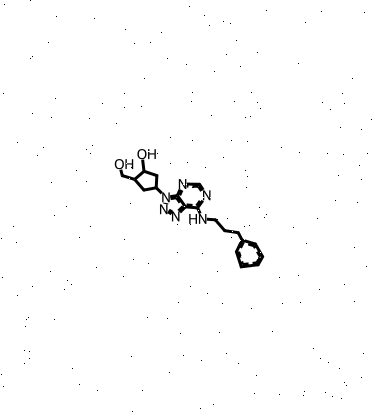 OCC1CC(n2nnc3c(NCCCc4ccccc4)ncnc32)CC1O